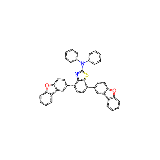 c1ccc(N(c2ccccc2)c2nc3c(-c4ccc5oc6ccccc6c5c4)ccc(-c4ccc5oc6ccccc6c5c4)c3s2)cc1